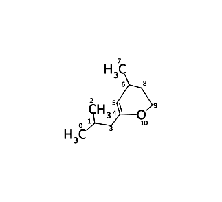 CC(C)CC1=CC(C)CCO1